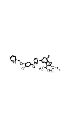 Cc1nc2c(F)cc(-c3ccnc(Nc4ccc(OCc5ccccn5)c(Cl)c4)n3)cc2n1C(C)C